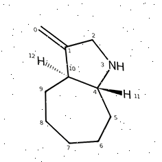 C=C1CN[C@@H]2CCCCC[C@@H]12